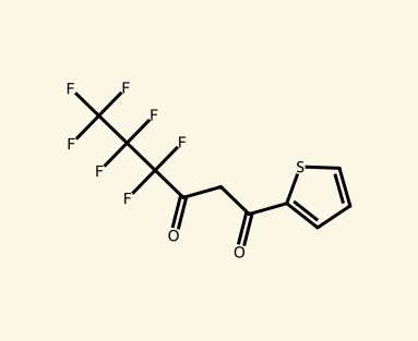 O=C(CC(=O)C(F)(F)C(F)(F)C(F)(F)F)c1cccs1